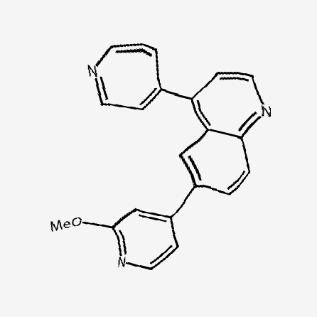 COc1cc(-c2ccc3nccc(-c4ccncc4)c3c2)ccn1